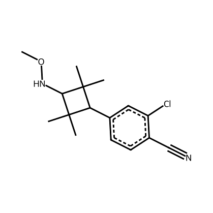 CONC1C(C)(C)C(c2ccc(C#N)c(Cl)c2)C1(C)C